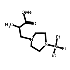 CC[Si](CC)(CC)N1CCN(CC(C)C(=O)OC)CC1